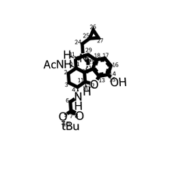 CC(=O)N[C@@]12CC[C@@H](NCC(=O)OC(C)(C)C)[C@@H]3Oc4c(O)ccc5c4[C@@]31CCN(CC1CC1)[C@@H]2C5